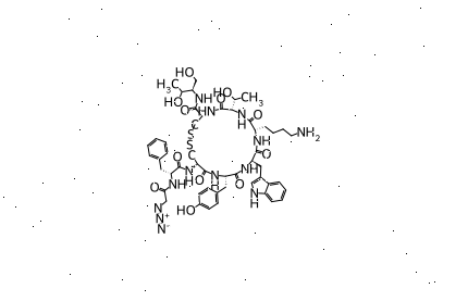 CC(O)[C@@H]1NC(=O)[C@H](CCCCN)NC(=O)[C@@H](Cc2c[nH]c3ccccc23)NC(=O)[C@H](Cc2ccc(O)cc2)NC(=O)[C@@H](NC(=O)[C@@H](Cc2ccccc2)NC(=O)CN=[N+]=[N-])CSSC[C@@H](C(=O)N[C@H](CO)C(C)O)NC1=O